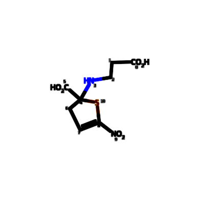 O=C(O)CCNC1(C(=O)O)CC=C([N+](=O)[O-])S1